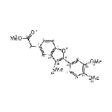 COC(=O)Cc1ccc2oc(-c3ccc(OC(C)=O)c(OC)c3)c(SC)c2c1